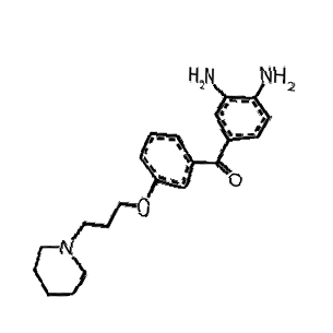 Nc1ccc(C(=O)c2cccc(OCCCN3CCCCC3)c2)cc1N